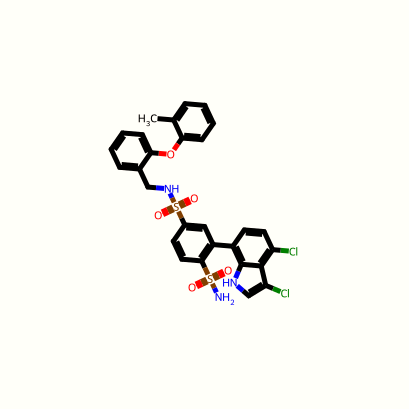 Cc1ccccc1Oc1ccccc1CNS(=O)(=O)c1ccc(S(N)(=O)=O)c(-c2ccc(Cl)c3c(Cl)c[nH]c23)c1